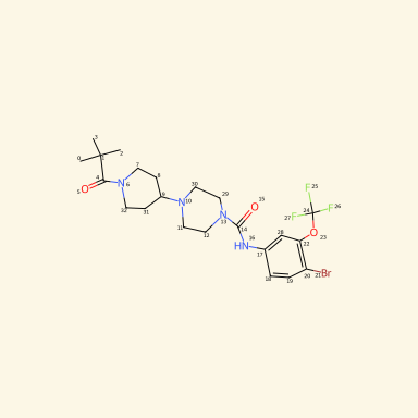 CC(C)(C)C(=O)N1CCC(N2CCN(C(=O)Nc3ccc(Br)c(OC(F)(F)F)c3)CC2)CC1